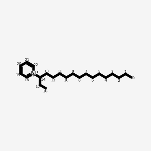 CCCCCCCCCCCCCCC(CC)[n+]1ccccc1